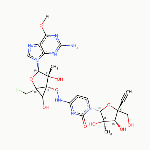 C#C[C@]1(CO)O[C@@H](n2ccc(NO[C@]34C(O)[C@@]3(CF)O[C@@H](n3cnc5c(OCC)nc(N)nc53)[C@]4(C)O)nc2=O)[C@](C)(O)[C@@H]1O